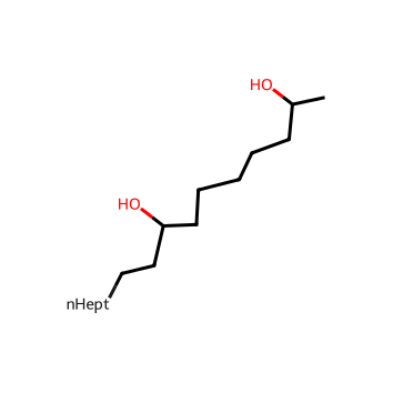 CCCCCCCCCC(O)CCCCCC(C)O